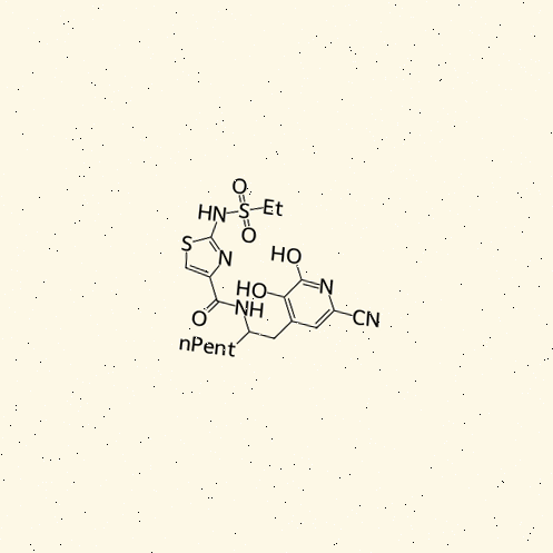 CCCCCC(Cc1cc(C#N)nc(O)c1O)NC(=O)c1csc(NS(=O)(=O)CC)n1